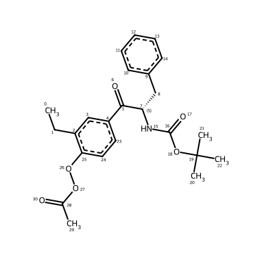 CCc1cc(C(=O)[C@H](Cc2ccccc2)NC(=O)OC(C)(C)C)ccc1OOC(C)=O